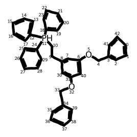 c1ccc(COc2cc(CC[PH](c3ccccc3)(c3ccccc3)c3ccccc3)cc(OCc3ccccc3)c2)cc1